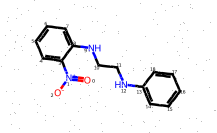 O=[N+]([O-])c1ccccc1NCCNc1ccccc1